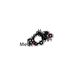 CCn1c(-c2cccnc2[C@H](C)OC)c2c3cc(ccc31)-c1cccc(c1)C[C@H](NC(=O)[C@H](C(C)C)N(C)C(=O)[C@H]1OCC[C@H]1c1ccccc1)C(=O)N1CCC[C@](C=O)(COCC(C)(C)C2)N1